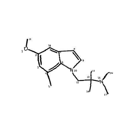 COc1cc(C)c2c(ccn2CC(C)(C)N(C)C)c1